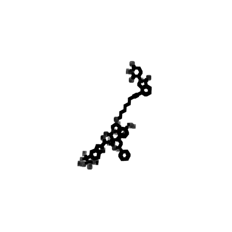 CC(C)(C)c1ccc(C[C@H](NC(=O)c2cc3cc(C(F)(F)P(=O)(O)O)ccc3s2)C(=O)N2C[C@@H](OCCCCCCC#Cc3cccc4c3CN(C3CCC(=O)NC3=O)C4=O)C[C@H]2C(=O)N2CCO[C@H](c3ccccc3)C2)cc1